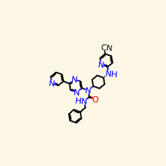 N#Cc1ccc(N[C@H]2CC[C@H](N(C(=O)NCc3ccccc3)c3cnc(-c4cccnc4)cn3)CC2)nc1